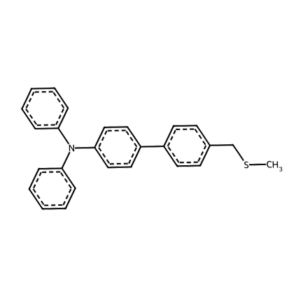 CSCc1ccc(-c2ccc(N(c3ccccc3)c3ccccc3)cc2)cc1